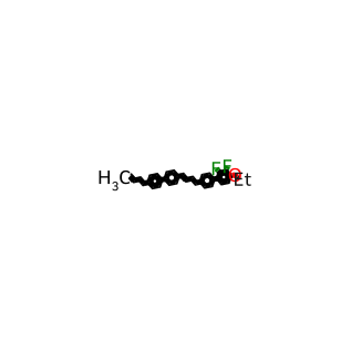 C/C=C/CCc1ccc(C2CCC(/C=C/CCC3CCC(c4ccc(OCC)c(F)c4F)CC3)CC2)cc1